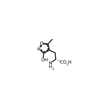 Cc1onc(O)c1C[C@@H](N)C(=O)O